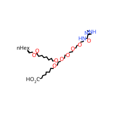 CCCCCC/C=C\COC(=O)CCCCCCCOC(COCCCCCCCC(=O)O)COCCOCCOCCOCCNC(=O)c1c[nH]cn1